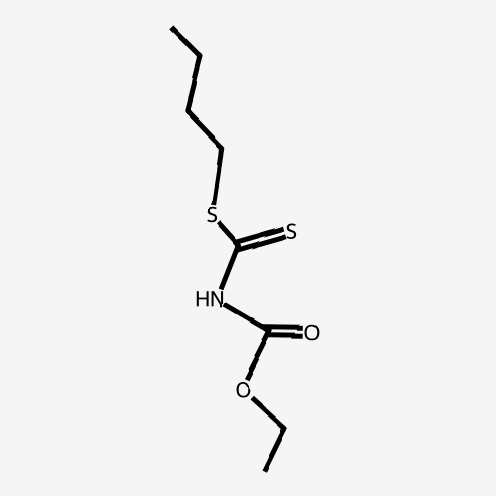 CCCCSC(=S)NC(=O)OCC